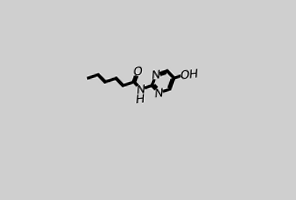 CCCCCC(=O)Nc1ncc(O)cn1